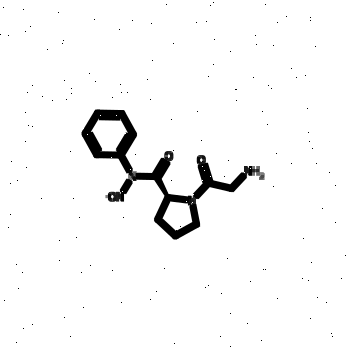 NCC(=O)N1CCC[C@H]1C(=O)N([N+]=O)c1ccccc1